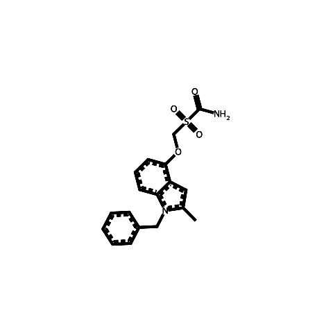 Cc1cc2c(OCS(=O)(=O)C(N)=O)cccc2n1Cc1ccccc1